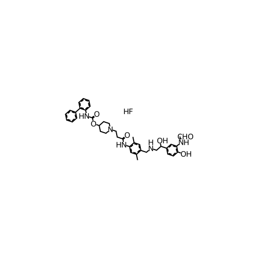 Cc1cc(NC(=O)CCN2CCC(OC(=O)Nc3ccccc3-c3ccccc3)CC2)c(C)cc1CNCC(O)c1ccc(O)c(NC=O)c1.F